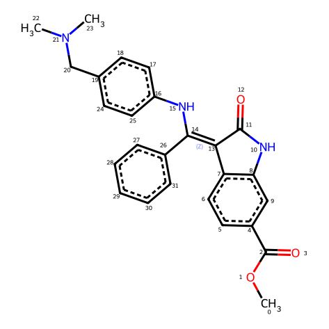 COC(=O)c1ccc2c(c1)NC(=O)/C2=C(\Nc1ccc(CN(C)C)cc1)c1ccccc1